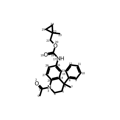 CC(=O)N1CCC(C)(c2ccccc2)c2cc(NC(=O)OCC3(C)CC3)ccc21